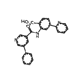 O=C(Nc1cc(-c2ccccn2)ccc1C(=O)O)c1cncc(-c2ccccc2)c1